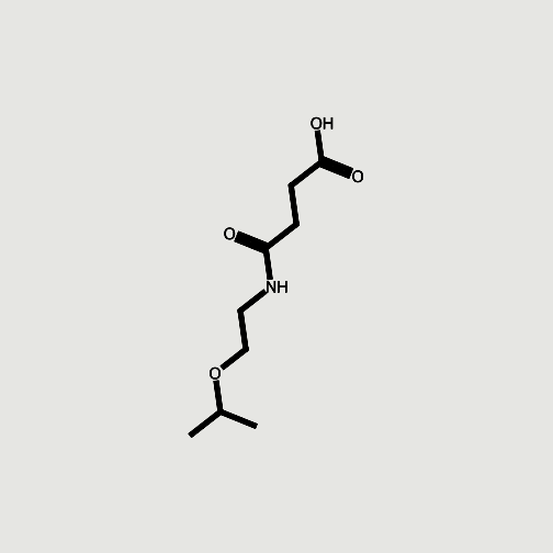 CC(C)OCCNC(=O)CCC(=O)O